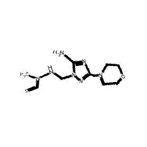 CN(C=S)NCn1nc(N2CCOCC2)nc1N